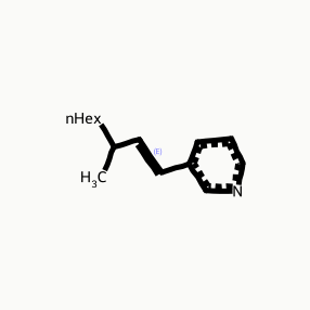 CCCCCCC(C)/C=C/c1cccnc1